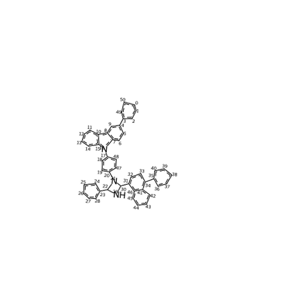 c1ccc(-c2ccc3c(c2)c2ccccc2n3-c2ccc(N3C(c4ccccc4)NC3c3ccc(-c4ccccc4)c4ccccc34)cc2)cc1